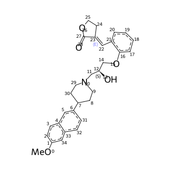 COc1ccc2cc(C3CCN(C[C@H](O)COc4ccccc4/C=C4\CCOC4=O)CC3)ccc2c1